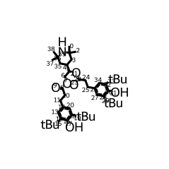 CC1(C)CC(C(COC(=O)CCc2cc(C(C)(C)C)c(O)c(C(C)(C)C)c2)OC(=O)CCc2cc(C(C)(C)C)c(O)c(C(C)(C)C)c2)CC(C)(C)N1